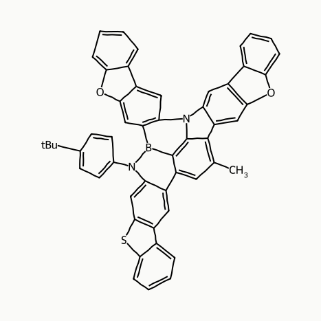 Cc1cc2c3c4c1c1cc5oc6ccccc6c5cc1n4-c1cc4c(cc1B3N(c1ccc(C(C)(C)C)cc1)c1cc3sc5ccccc5c3cc1-2)oc1ccccc14